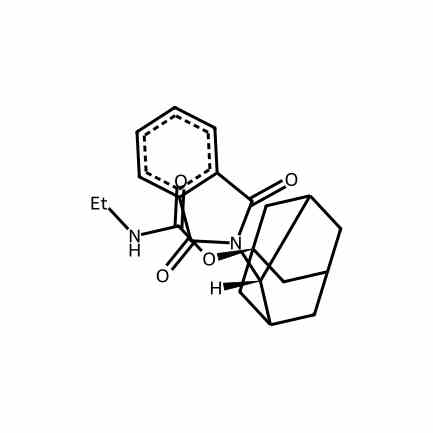 CCNC(=O)O[C@]12CC3CC(C1)[C@@H](N1C(=O)c4ccccc4C1=O)C(C3)C2